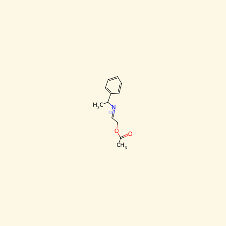 CC(=O)OC/C=N/C(C)c1ccccc1